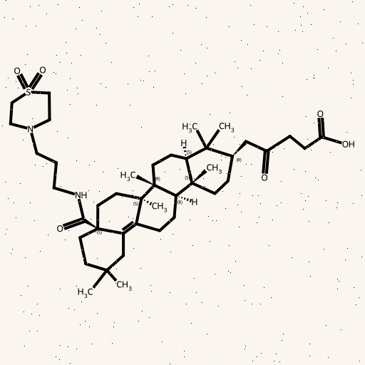 CC1(C)CC[C@]2(C(=O)NCCCN3CCS(=O)(=O)CC3)CC[C@]3(C)C(=C2C1)CC[C@@H]1[C@@]2(C)CC[C@H](CC(=O)CCC(=O)O)C(C)(C)[C@@H]2CC[C@]13C